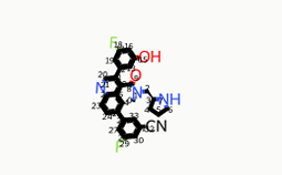 CN(C[C@@H]1CCCN1)C(=O)c1c(-c2cc(O)cc(F)c2)cnc2ccc(-c3cc(F)cc(C#N)c3)cc12